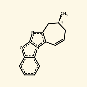 C[C@H]1CC=Cc2c(nc3oc4ccccc4n23)C1